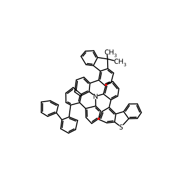 CC1(C)c2ccccc2-c2c(-c3ccccc3N(c3ccccc3-c3ccccc3-c3ccccc3-c3ccccc3)c3ccccc3-c3cccc4sc5ccccc5c34)cccc21